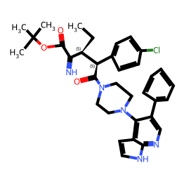 CC[C@H](C(=N)C(=O)OC(C)(C)C)[C@H](C(=O)N1CCN(c2c(-c3ccccc3)cnc3[nH]ccc23)CC1)c1ccc(Cl)cc1